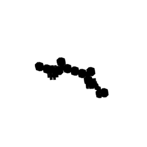 C\C=C/C(=C\C=C\N/N=C1/C=C(N(c2ccccc2)c2ccc(-c3ccc(-c4ccc(N(C5=C/C(=N/Nc6ccc(-c7ccccc7)cc6)C(=N)C=C5)c5ccccc5)cc4)cc3)cc2)C=CC1=N)c1ccccc1